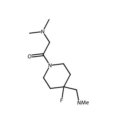 CNCC1(F)CCN(C(=O)CN(C)C)CC1